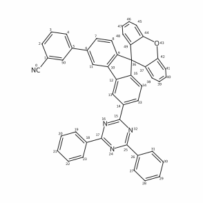 N#Cc1cccc(-c2ccc3c(c2)-c2cc(-c4nc(-c5ccccc5)nc(-c5ccccc5)n4)ccc2C32c3ccccc3Oc3ccccc32)c1